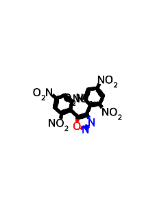 O=[N+]([O-])c1cc([N+](=O)[O-])c(-c2nnoc2-c2c([N+](=O)[O-])cc([N+](=O)[O-])cc2[N+](=O)[O-])c([N+](=O)[O-])c1